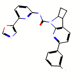 O=C(Nc1cccc(-c2cnco2)n1)N1c2nc(-c3cccc(C(F)(F)F)c3)ccc2C2CCC21